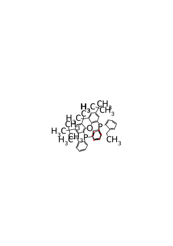 CCc1ccccc1[P@](c1ccccc1)c1cc(C(C)(C)C)cc2c1Oc1c([P@@](c3ccccc3)c3ccccc3CC)cc(C(C)(C)C)cc1C2(C)C